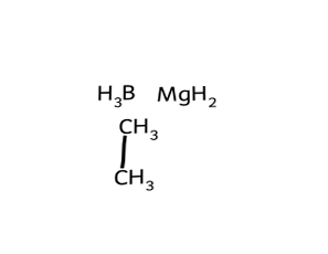 B.CC.[MgH2]